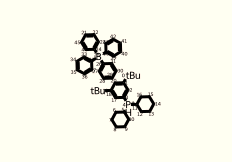 CC(C)(C)c1cc([PH+](C2CCCCC2)C2CCCCC2)cc(C(C)(C)C)c1.c1ccc([B-](c2ccccc2)(c2ccccc2)c2ccccc2)cc1